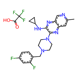 Cc1cc2nc(N3CCN(Cc4ccc(F)cc4F)CC3)c(NC3CC3)nc2cn1.O=C(O)C(F)(F)F